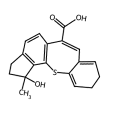 CC1(O)CCc2ccc3c(c21)SC1=CCCC=C1C=C3C(=O)O